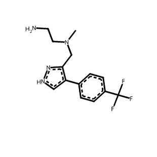 CN(CCN)Cc1n[nH]cc1-c1ccc(C(F)(F)F)cc1